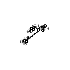 O=S(=O)(O)c1cccc2c(S(=O)(=O)O)cccc12.O=c1ccc2c([C@@H](O)CNCCCCCCCCCN3CCC(Cn4cnc([C@](O)(c5ccccc5)C5CCCCC5)n4)CC3)ccc(O)c2[nH]1